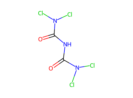 O=C(NC(=O)N(Cl)Cl)N(Cl)Cl